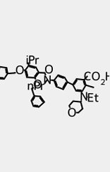 CCCN(C(=O)c1cc(C(C)C)c(OCc2ccccc2)cc1OCc1ccccc1)c1ccc(-c2cc(C(=O)O)c(C)c(N(CC)C3CCOCC3)c2)cc1